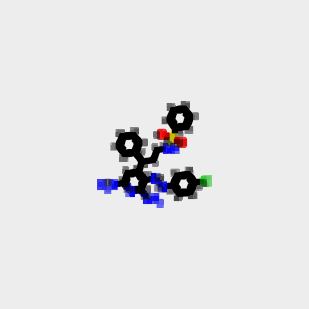 Nc1cc(C(CCNS(=O)(=O)c2ccccc2)c2ccccc2)c(N=Nc2ccc(Cl)cc2)c(N)n1